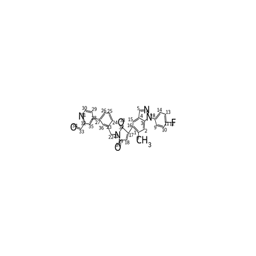 Cc1cc2c(cnn2-c2ccc(F)cc2)cc1C1=CC(=O)N(Cc2cccc(-c3ccnc(C=O)c3)c2)C1=O